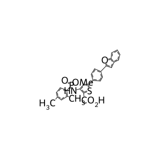 COP(=O)(Nc1cc(-c2ccc(-c3cc4ccccc4o3)cc2)sc1C(=O)O)c1ccc(C)cc1C